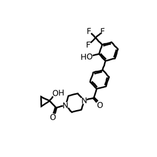 O=C(c1ccc(-c2cccc(C(F)(F)F)c2O)cc1)N1CCN(C(=O)C2(O)CC2)CC1